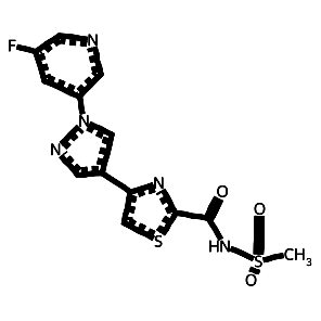 CS(=O)(=O)NC(=O)c1nc(-c2cnn(-c3cncc(F)c3)c2)cs1